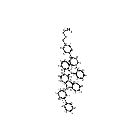 CCCCc1ccc(-c2ccc(-c3ccccc3-n3c4ccccc4c4ccc5c(c6ccccc6n5-c5cccc(-c6ccccc6)c5)c43)cc2)cc1